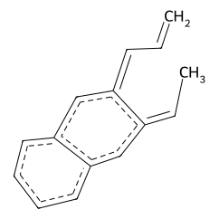 C=C/C=c1/cc2ccccc2c/c1=C/C